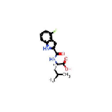 CC(C)C[C@H](NC(=O)c1cc2c(F)cccc2[nH]1)C(=O)O